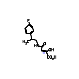 CC(CNC(=O)/C=C(\O)C(=O)O)c1ccc(F)cc1